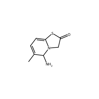 CC1=CC=C2SC(=O)CN2C1N